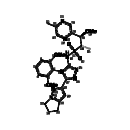 COc1cccc(OC)c1-n1c(NS(=O)(=O)[C@@H](C)[C@H](OC)c2cnc(C)cn2)nnc1-c1cc2n(n1)CCC2